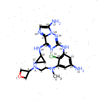 CN(CCNC1COC1)c1cc(N)cc(Nc2nc(NC3CC3)c3ncc(N)n3n2)c1Cl